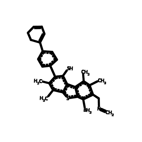 Bc1c(CN=C)c(C)c(C)c2c1sc1c(C)c(C)c(-c3ccc(C4=CC=CCC4)cc3)c(S)c12